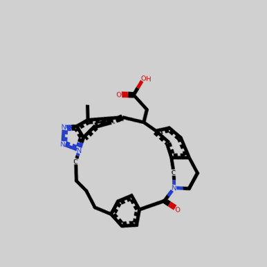 Cc1c2ccc3c1nnn3CCCCc1ccc(cc1)C(=O)N1CCc3ccc(cc3C1)C2CC(=O)O